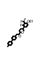 CCOc1ccc(C2CCC(C(=O)Cc3ccc(-c4ccc(C)cc4)cc3)OC2)c(F)c1C(F)F